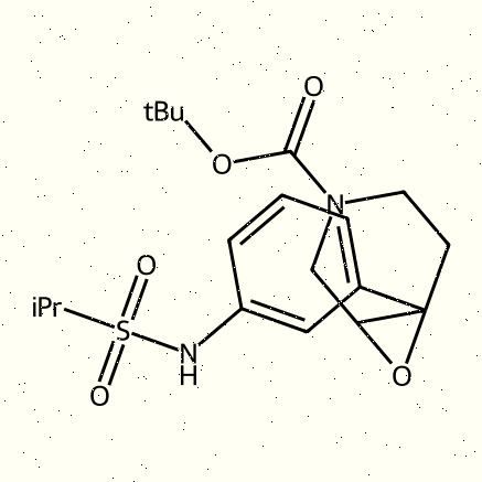 CC(C)S(=O)(=O)Nc1cccc(C23CCN(C(=O)OC(C)(C)C)CC2O3)c1